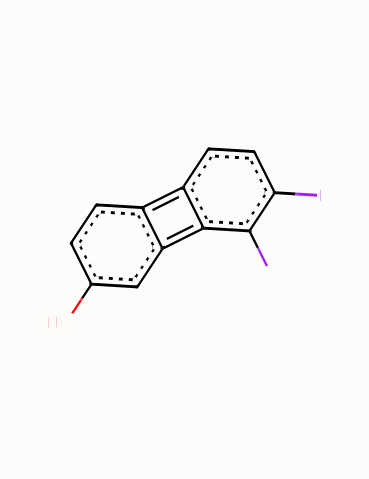 Oc1ccc2c(c1)=c1c(I)c(I)ccc1=2